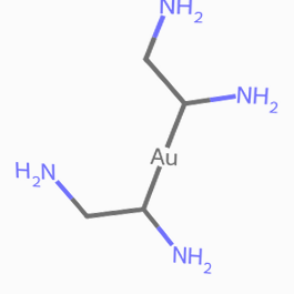 NC[CH](N)[Au][CH](N)CN